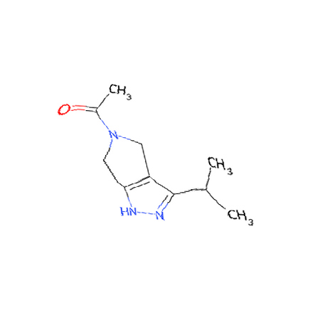 CC(=O)N1Cc2[nH]nc(C(C)C)c2C1